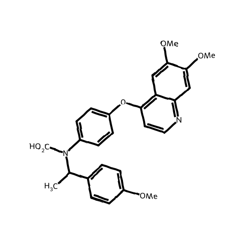 COc1ccc(C(C)N(C(=O)O)c2ccc(Oc3ccnc4cc(OC)c(OC)cc34)cc2)cc1